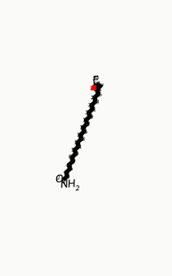 NC(=O)CCCCCCCCCCCCCCCCCCCCCCCC12CC(F)(C1)C2